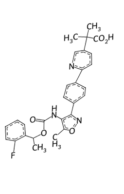 Cc1onc(-c2ccc(-c3ccc(C(C)(C)C(=O)O)cn3)cc2)c1NC(=O)OC(C)c1ccccc1F